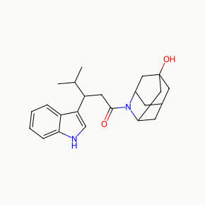 CC(C)C(CC(=O)N1C2CC3CC1CC(O)(C3)C2)c1c[nH]c2ccccc12